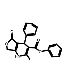 CC1=C(C(=O)Oc2ccccc2)C(c2ccccc2)C2=C(COC2=O)N1